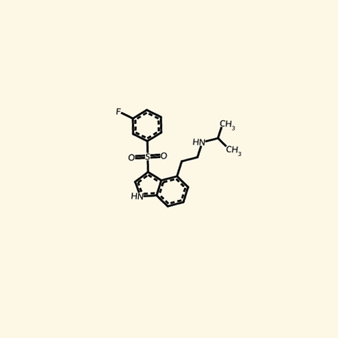 CC(C)NCCc1cccc2[nH]cc(S(=O)(=O)c3cccc(F)c3)c12